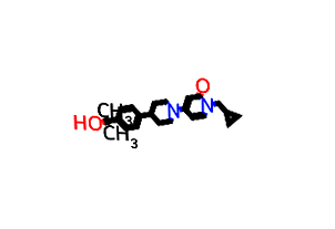 CC(C)(O)c1ccc(C2CCN(c3ccn(CC4CC4)c(=O)c3)CC2)cc1